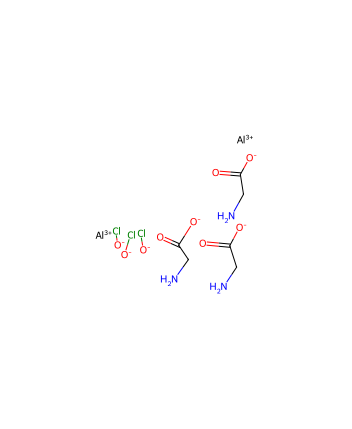 NCC(=O)[O-].NCC(=O)[O-].NCC(=O)[O-].[Al+3].[Al+3].[O-]Cl.[O-]Cl.[O-]Cl